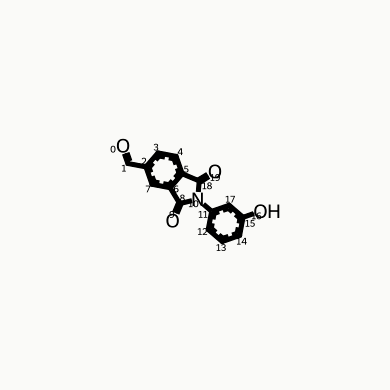 O=Cc1ccc2c(c1)C(=O)N(c1cccc(O)c1)C2=O